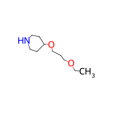 CCOCCCOC1CCNCC1